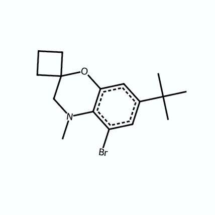 CN1CC2(CCC2)Oc2cc(C(C)(C)C)cc(Br)c21